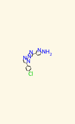 Nc1ccc(-c2cn(-c3nccc(-c4ccc(Cl)cc4)n3)cn2)cn1